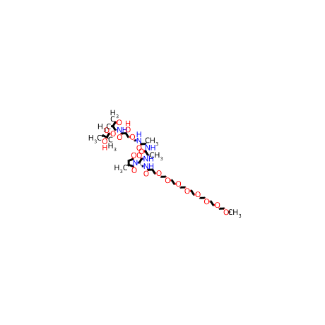 CC[C@@](C)(O)C(=O)O[C@@H](NC(=O)[C@H](O)COCNC(=O)[C@H](C)NC(=O)[C@H](C)NC(=O)[C@H](CNC(=O)CCOCCOCCOCCOCCOCCOCCOCCOC)N1C(=O)CC(C)C1=O)C(C)C(C)=O